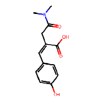 CN(C)C(=O)CC(=Cc1ccc(O)cc1)C(=O)O